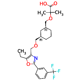 CCc1oc(-c2cccc(C(F)(F)F)c2)nc1COC[C@@H]1CCC[C@H](COC(C)(C)C(=O)O)C1